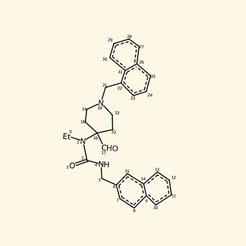 CCN(C(=O)NCc1ccc2ccccc2c1)C1(C=O)CCN(Cc2cccc3ccccc23)CC1